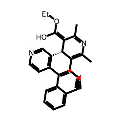 C=NCC1=C(C)N=C(C)/C(=C(/O)OCC)[C@H]1c1cnccc1-c1cccc2ccccc12